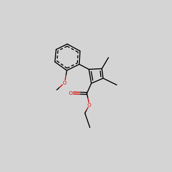 CCOC(=O)C1=C(c2ccccc2OC)C(C)=C1C